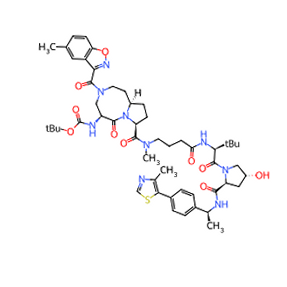 Cc1ccc2onc(C(=O)N3CC[C@H]4CC[C@@H](C(=O)N(C)CCCC(=O)N[C@H](C(=O)N5C[C@H](O)C[C@H]5C(=O)N[C@@H](C)c5ccc(-c6scnc6C)cc5)C(C)(C)C)N4C(=O)[C@@H](NC(=O)OC(C)(C)C)C3)c2c1